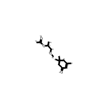 CC1=CC(=O)CC(C)(C)C1.COCC(C)OC(C)=O